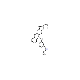 CC1(C)C2=C(CCC=C2)c2cc3c(Nc4cccc(/C=C\CN)c4)c4ccccc4cc3cc21